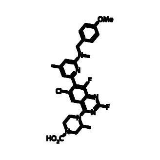 COc1ccc(CN(C)c2cc(C)cc(-c3c(Cl)cc4c(N5CCN(C(=O)O)CC5C)nc(F)nc4c3F)n2)cc1